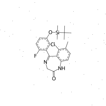 Cc1ccc2c(c1Cl)C(c1cc(O[Si](C)(C)C(C)(C)C)ccc1F)=NCC(=O)N2